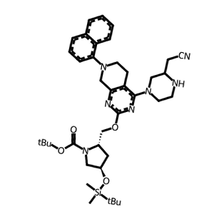 CC(C)(C)OC(=O)N1C[C@H](O[Si](C)(C)C(C)(C)C)C[C@H]1COc1nc2c(c(N3CCNC(CC#N)C3)n1)CCN(c1cccc3ccccc13)C2